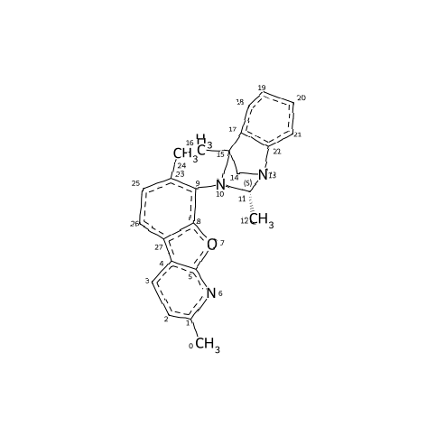 Cc1ccc2c(n1)oc1c(N3[C@@H](C)N4CC3(C)c3ccccc34)c(C)ccc12